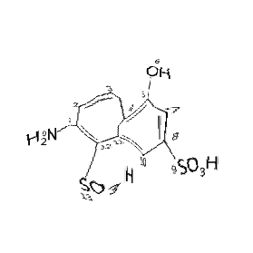 Nc1ccc2c(O)[c]c(S(=O)(=O)O)cc2c1S(=O)(=O)O